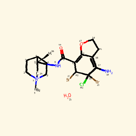 CCCC[N+]12CCC(CC1)[C@H](NC(=O)C1=C3OCCC3=C(N)C(Cl)(Br)C1Br)C2.O